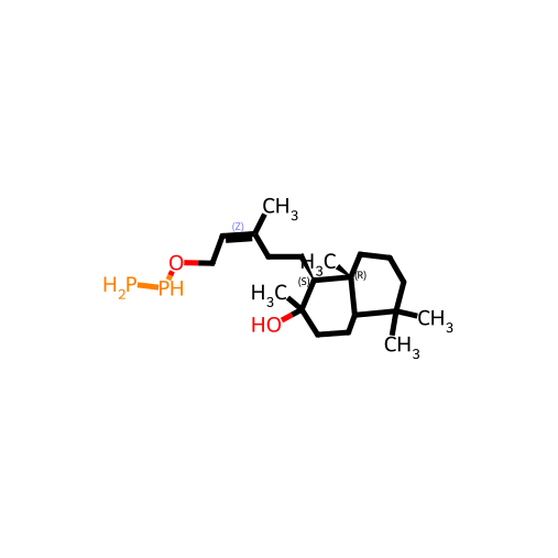 C/C(=C/COPP)CC[C@@H]1C(C)(O)CCC2C(C)(C)CCC[C@]21C